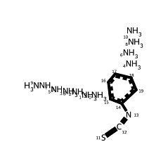 N.N.N.N.N.N.N.N.N.N.N.S=C=Nc1ccccc1